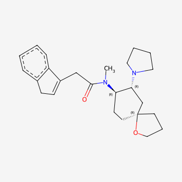 CN(C(=O)CC1=CCc2ccccc21)[C@@H]1CC[C@@]2(CCCO2)C[C@H]1N1CCCC1